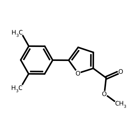 COC(=O)c1ccc(-c2cc(C)cc(C)c2)o1